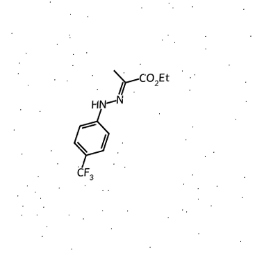 CCOC(=O)C(C)=NNc1ccc(C(F)(F)F)cc1